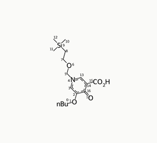 CCCCOc1cn(COCC[Si](C)(C)C)cc(C(=O)O)c1=O